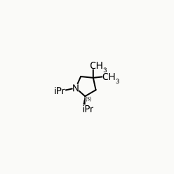 CC(C)[C@@H]1CC(C)(C)CN1C(C)C